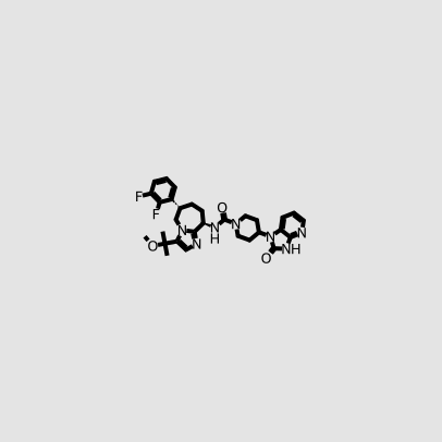 COC(C)(C)c1cnc2n1C[C@H](c1cccc(F)c1F)CC[C@H]2NC(=O)N1CCC(n2c(=O)[nH]c3ncccc32)CC1